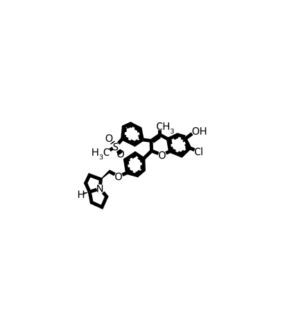 CC1=C(c2cccc(S(C)(=O)=O)c2)C(c2ccc(OC[C@@H]3CC[C@@H]4CCCN43)cc2)Oc2cc(Cl)c(O)cc21